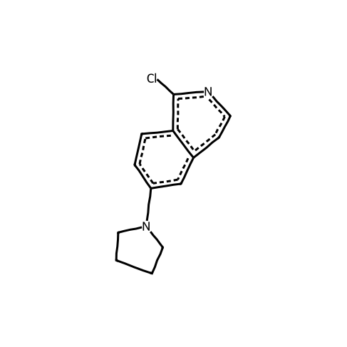 Clc1nccc2cc(N3CCCC3)ccc12